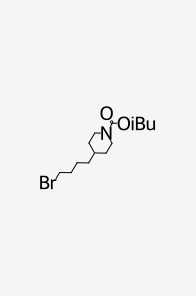 CC(C)COC(=O)N1CCC(CCCCBr)CC1